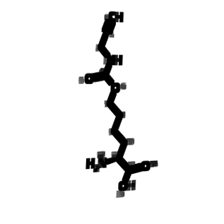 C#CCNC(=O)OCCCC[C@H](N)C(=O)O